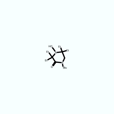 CCC1(CC)CN(C(C)(C)C)C(=O)C(CC)(CC)N1O